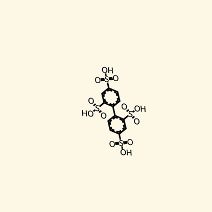 O=S(=O)(O)c1ccc(-c2ccc(S(=O)(=O)O)cc2S(=O)(=O)O)c(S(=O)(=O)O)c1